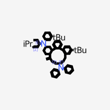 C=C1/C=C\C(N(c2ccccc2)c2ccccc2)=C/Cc2cc(C(C)(C)C)ccc2-c2ccc(C(C)(C)C)cc2C2CC(N(C3=CC=CCC3)C(/C=C\C(C)C)=C/C)CCC12